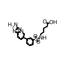 Nc1nc2ccc(-c3cccc(S(=O)(=O)NCCCCC(=O)O)c3)cn2n1